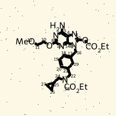 CCOC(=O)Oc1nc2c(N)nc(OCCOC)nc2n1CC1=CC=CC(CN(CC2CC2)C(=O)OCC)C1